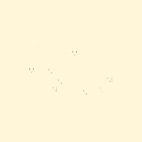 COc1cc(-n2ncc3cnc(CC(N)=O)cc32)nc(C2(OC)CCOC2)c1